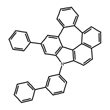 c1ccc(-c2cccc(-n3c4cc(-c5ccccc5)cc5c4c4c6c(cccc6ccc43)-c3ccccc3-5)c2)cc1